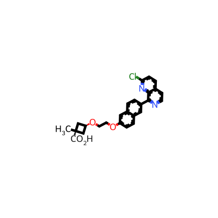 C[C@]1(C(=O)O)C[C@@H](OCCOc2ccc3cc(-c4nccc5ccc(Cl)nc45)ccc3c2)C1